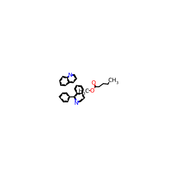 CCCCC(=O)OC.c1ccc(-c2nccc3ccccc23)cc1.c1ccc2ncccc2c1